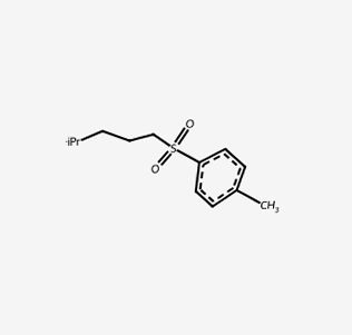 C[C](C)CCCS(=O)(=O)c1ccc(C)cc1